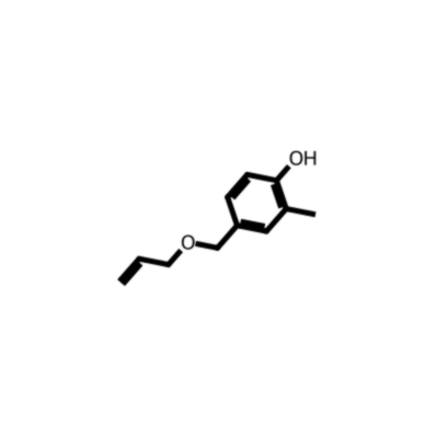 C=CCOCc1ccc(O)c(C)c1